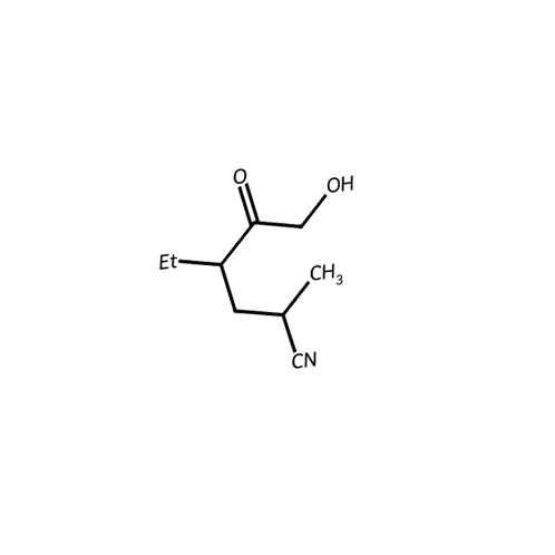 CCC(CC(C)C#N)C(=O)CO